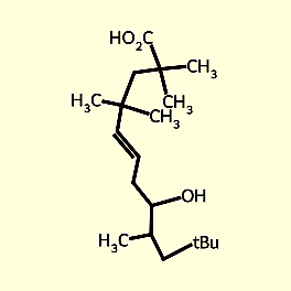 CC(CC(C)(C)C)C(O)CC=CC(C)(C)CC(C)(C)C(=O)O